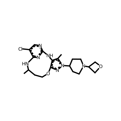 Cc1c2c(nn1C1CCN(C3COC3)CC1)OCCC(C)Nc1nc(ncc1Cl)N2